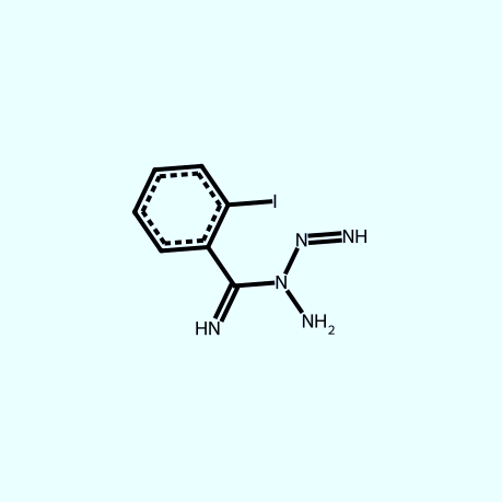 N=NN(N)C(=N)c1ccccc1I